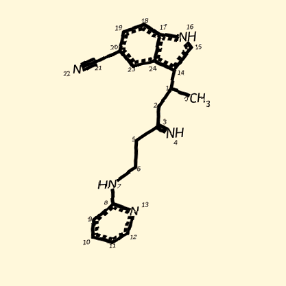 CC(CC(=N)CCNc1ccccn1)c1c[nH]c2ccc(C#N)cc12